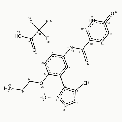 Cn1ncc(Cl)c1-c1cc(NC(=O)c2ccc(=O)[nH]n2)ccc1OCCN.O=C(O)C(F)(F)F